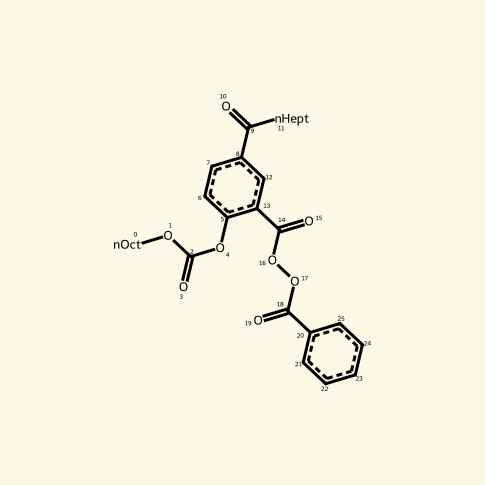 CCCCCCCCOC(=O)Oc1ccc(C(=O)CCCCCCC)cc1C(=O)OOC(=O)c1ccccc1